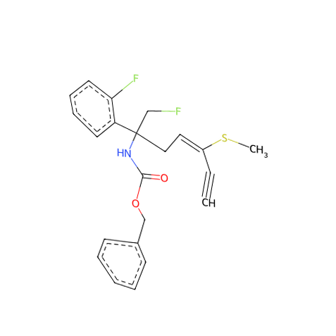 C#C/C(=C\CC(CF)(NC(=O)OCc1ccccc1)c1ccccc1F)SC